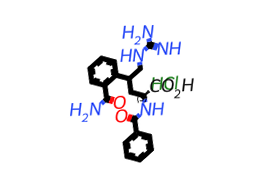 Cl.N=C(N)NCC(C[C@H](NC(=O)c1ccccc1)C(=O)O)c1ccccc1C(N)=O